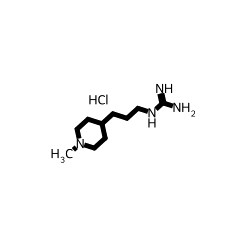 CN1CCC(CCCNC(=N)N)CC1.Cl